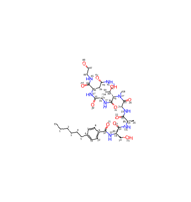 CCCCCCc1ccc(C(=O)N[C@H](CO)C(=O)N[C@H](C)C(=O)NCC(=O)N(C)C(C(=O)N[C@@H](C)C(=O)NC(CC(N)=O)C(=O)NCC=O)C(C)O)cc1